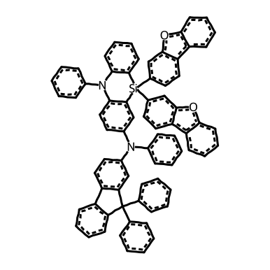 c1ccc(N(c2ccc3c(c2)C(c2ccccc2)(c2ccccc2)c2ccccc2-3)c2ccc3c(c2)[Si](c2ccc4c(c2)oc2ccccc24)(c2ccc4c(c2)oc2ccccc24)c2ccccc2N3c2ccccc2)cc1